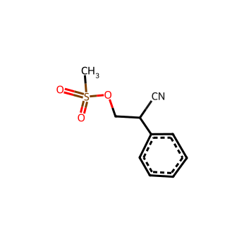 CS(=O)(=O)OCC(C#N)c1ccccc1